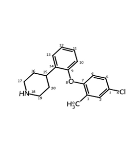 Cc1cc(Cl)ccc1Oc1ccccc1C1CCNCC1